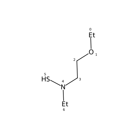 CCOCCN(S)CC